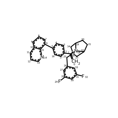 C=C(c1ccc(-c2cccc3cccnc23)cc1)N1C2CCC1CN(Cc1cc(F)cc(F)c1)C2